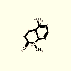 CC1=CC=CC2C1CCC(=O)N2C